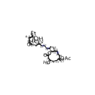 CC[C@@H](O)[C@@H](C)[C@H]1O[C@@H]1C[C@](C)(O)/C=C/C=C(\C)[C@H]1OC(=O)C[C@@H](O)CC[C@@](C)(OC(C)=O)[CH]/C=C/[C@@H]1C